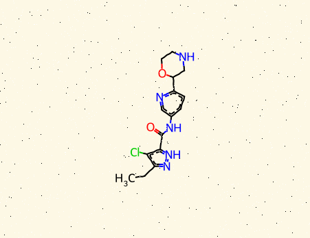 CCc1n[nH]c(C(=O)Nc2ccc(C3CNCCO3)nc2)c1Cl